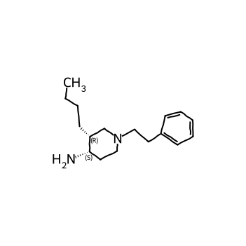 CCCC[C@@H]1CN(CCc2ccccc2)CC[C@@H]1N